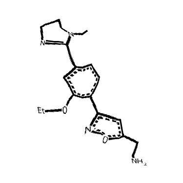 CCOc1cc(C2=NCCN2C)ccc1-c1cc(CN)on1